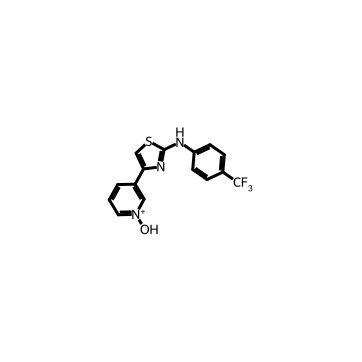 O[n+]1cccc(-c2csc(Nc3ccc(C(F)(F)F)cc3)n2)c1